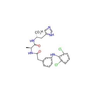 C[C@H](NC(=O)Cc1cccc(Nc2c(Cl)cccc2Cl)c1)C(=O)N[C@@H](Cc1cnc[nH]1)C(=O)O